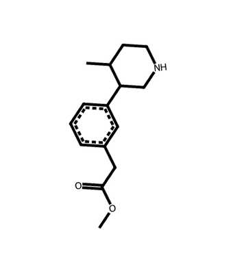 COC(=O)Cc1cccc(C2CNCCC2C)c1